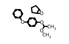 C1CC2OC2C1.COC(C)Oc1ccc(Oc2ccccc2)cc1